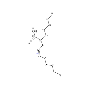 CCCCC/C=C\CC(CCCCC)C(=O)O